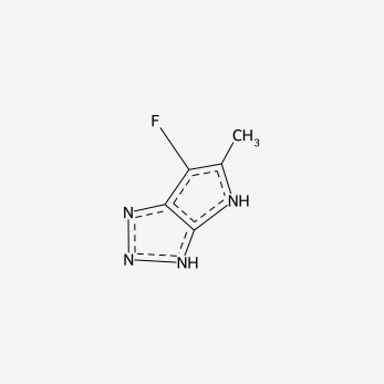 Cc1[nH]c2[nH]nnc2c1F